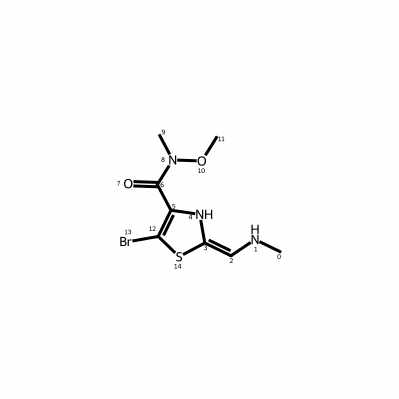 CN/C=C1\NC(C(=O)N(C)OC)=C(Br)S1